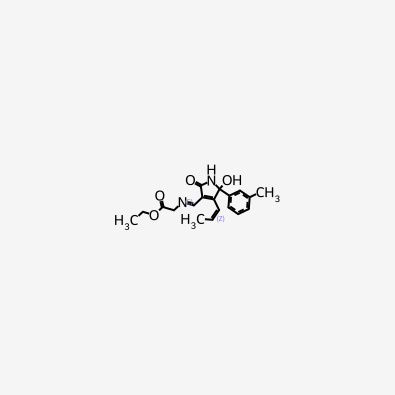 C/C=C\C1=C(/C=N/CC(=O)OCC)C(=O)NC1(O)c1cccc(C)c1